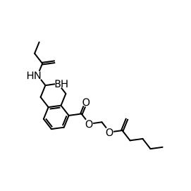 C=C(CC)NC1BCc2c(cccc2C(=O)OCOC(=C)CCCC)C1